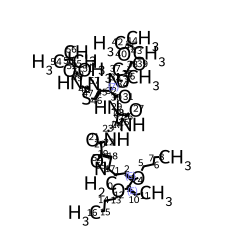 C=C(/C=C(OCCCC)\C(=C/C)OCCCC)c1cc(C(=O)NC[C@H]2NC(=O)[C@H]2NC(=O)/C(=N\OC(C)(C)C(=O)OC(C)(C)C)c2csc(NC(=O)OC(C)(C)C)n2)on1